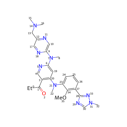 CCC(=O)c1cnc(N(C)c2cnc(CN(C)C)cn2)cc1N(C)c1cccc(-c2ncn(C)n2)c1OC